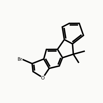 CC1(C)c2ccccc2-c2cc3c(Br)coc3cc21